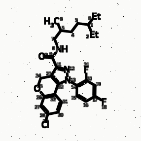 CCC(CC)CCC(C)CNC(=O)c1nn(-c2ccc(F)cc2F)c2c1COc1cc(Cl)ccc1-2